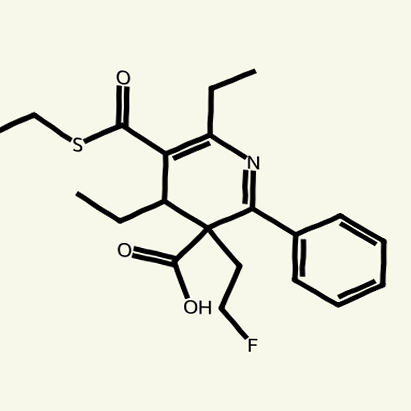 CCSC(=O)C1=C(CC)N=C(c2ccccc2)C(CCF)(C(=O)O)C1CC